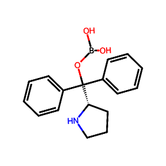 OB(O)OC(c1ccccc1)(c1ccccc1)[C@@H]1CCCN1